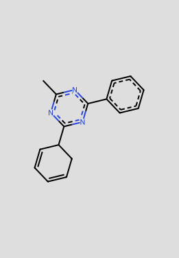 Cc1nc(-c2ccccc2)nc(C2C=CC=CC2)n1